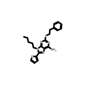 CCCCCn1c(-c2ccco2)nc2c(N)nc(SCCc3ccccc3)nc21